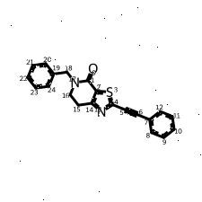 O=C1c2sc(C#Cc3ccccc3)nc2CCN1Cc1ccccc1